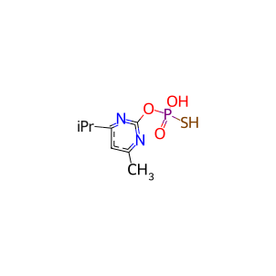 Cc1cc(C(C)C)nc(OP(=O)(O)S)n1